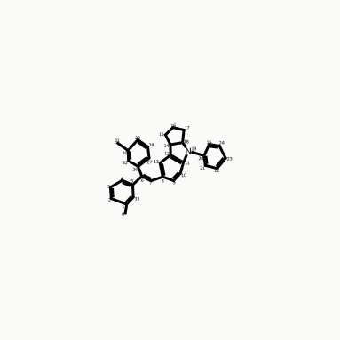 Cc1cccc(C(=Cc2ccc3c(c2)C2CCCC2N3c2ccccc2)c2cccc(C)c2)c1